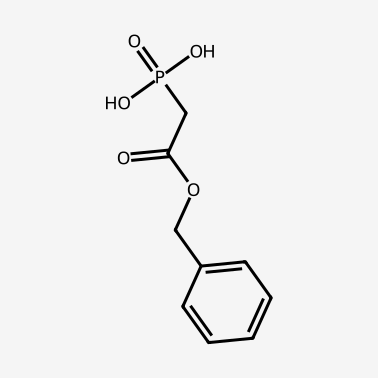 O=C(CP(=O)(O)O)OCc1ccccc1